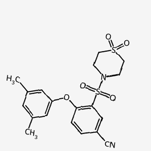 Cc1cc(C)cc(Oc2ccc(C#N)cc2S(=O)(=O)N2CCS(=O)(=O)CC2)c1